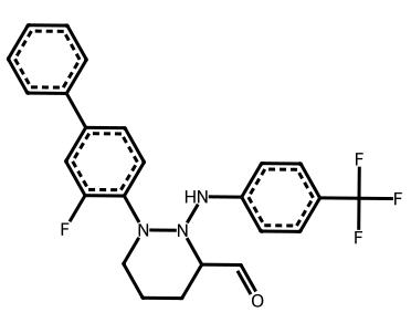 O=CC1CCCN(c2ccc(-c3ccccc3)cc2F)N1Nc1ccc(C(F)(F)F)cc1